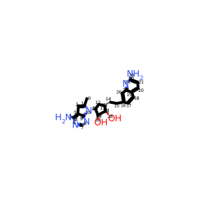 Cc1cc2c(N)ncnc2n1[C@@H]1C[C@H](CCc2ccc3ccc(N)nc3c2)[C@@H](O)[C@H]1O